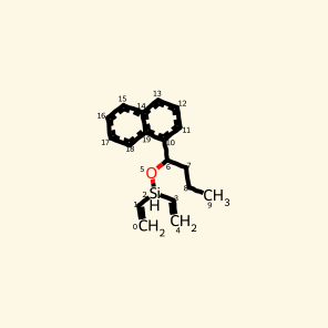 C=C[SiH](C=C)OC(CCC)c1cccc2ccccc12